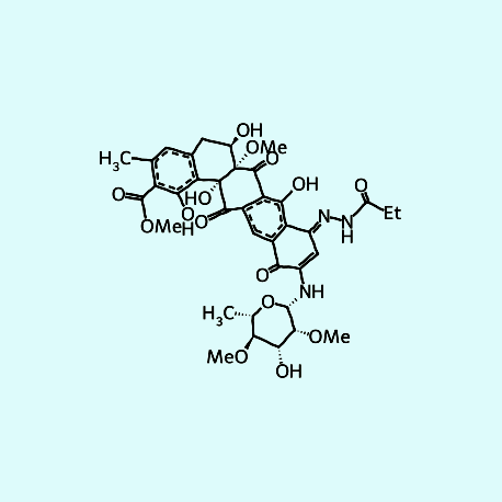 CCC(=O)NN=C1C=C(N[C@H]2O[C@@H](C)[C@H](OC)[C@@H](O)[C@H]2OC)C(=O)c2cc3c(c(O)c21)C(=O)[C@]1(OC)[C@H](O)Cc2cc(C)c(C(=O)OC)c(O)c2[C@]1(O)C3=O